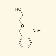 OCCOCc1ccccc1.[NaH]